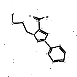 COCCn1cc(-c2ccccc2)cc1C(=O)O